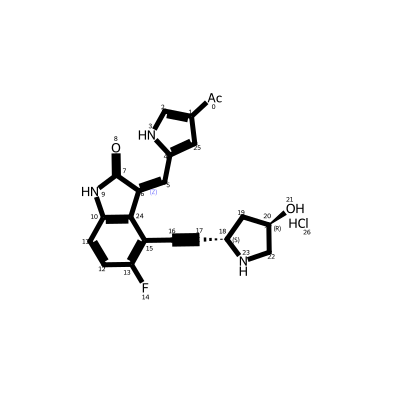 CC(=O)c1c[nH]c(/C=C2\C(=O)Nc3ccc(F)c(C#C[C@@H]4C[C@@H](O)CN4)c32)c1.Cl